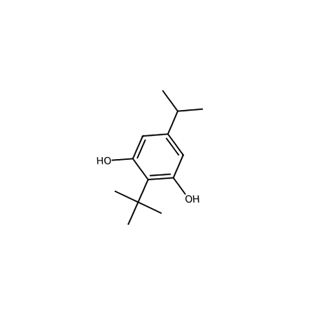 CC(C)c1cc(O)c(C(C)(C)C)c(O)c1